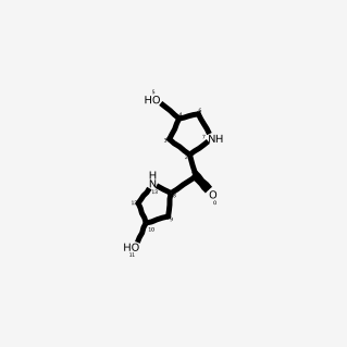 O=C(C1CC(O)CN1)C1CC(O)CN1